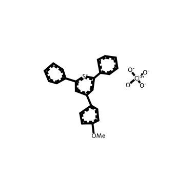 COc1ccc(-c2cc(-c3ccccc3)[s+]c(-c3ccccc3)c2)cc1.[O-][Cl+3]([O-])([O-])[O-]